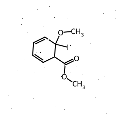 COC(=O)C1C=CC=CC1(I)OC